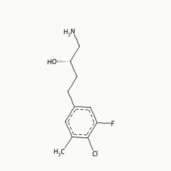 Cc1cc(CC[C@H](O)CN)cc(F)c1Cl